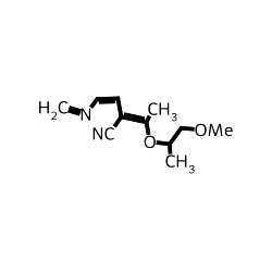 C=N/C=C\C(C#N)=C(/C)OC(C)COC